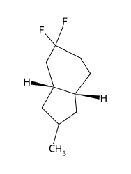 CC1C[C@H]2CCC(F)(F)C[C@H]2C1